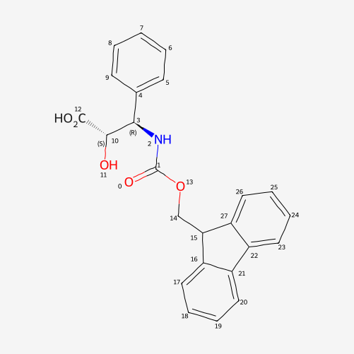 O=C(N[C@H](c1ccccc1)[C@H](O)C(=O)O)OCC1c2ccccc2-c2ccccc21